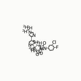 [2H]C1[C@]([2H])(C(=O)Nc2ccc(F)c(Cl)c2)N(C)S(=O)(=O)N[C@]1([2H])c1ncc(-c2cn(C([2H])([2H])[2H])cn2)s1